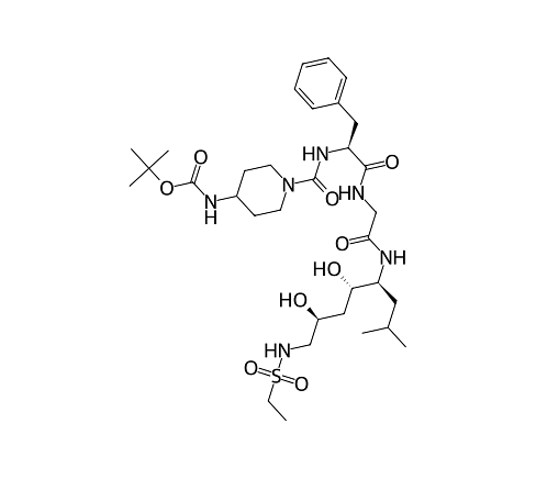 CCS(=O)(=O)NC[C@@H](O)C[C@H](O)[C@H](CC(C)C)NC(=O)CNC(=O)[C@H](Cc1ccccc1)NC(=O)N1CCC(NC(=O)OC(C)(C)C)CC1